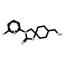 O=C1OC2(CCC(CO)CC2)CN1c1cccc(F)n1